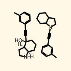 Cc1cccc(C#CN2CCC3CCCCC32)c1.Cc1cccc(C#C[C@]2(O)CCC[C@H]3NCC[C@H]32)c1